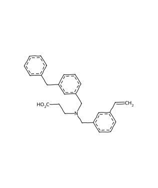 C=Cc1cccc(CN(CCC(=O)O)Cc2cccc(Cc3ccccc3)c2)c1